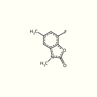 Cc1cc(F)c2oc(=O)n(C)c2c1